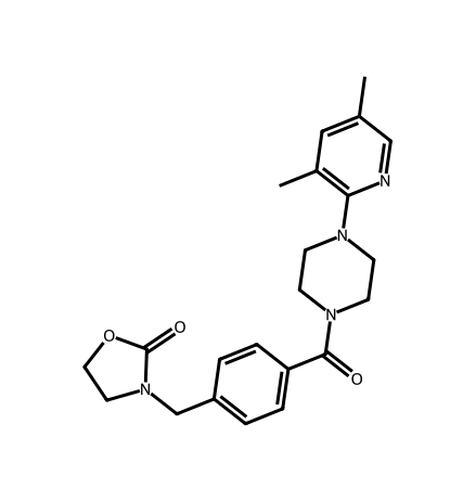 Cc1cnc(N2CCN(C(=O)c3ccc(CN4CCOC4=O)cc3)CC2)c(C)c1